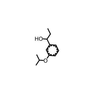 CCC(O)c1cccc(OC(C)C)c1